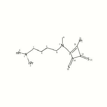 CCCN(CCC)CCCCN(C)c1c(C(C)C)c(=S)c1=S